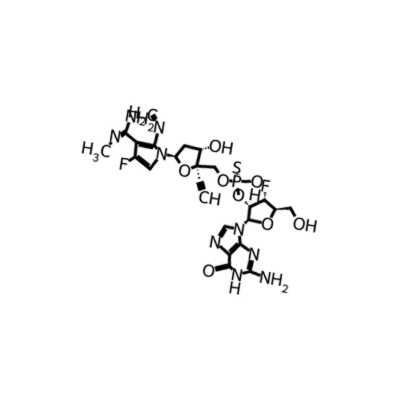 C#C[C@]1(COP(O)(=S)O[C@@H]2[C@H](F)[C@@H](CO)O[C@H]2n2cnc3c(=O)[nH]c(N)nc32)O[C@@H](n2cc(F)c(/C(N)=N\C)c2N=C)C[C@@H]1O